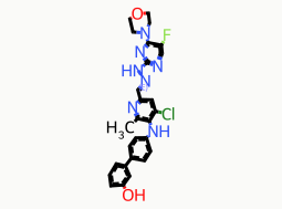 Cc1nc(/C=N/Nc2ncc(F)c(N3CCOCC3)n2)cc(Cl)c1Nc1ccc(-c2cccc(O)c2)cc1